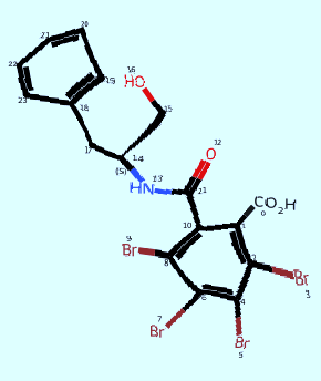 O=C(O)c1c(Br)c(Br)c(Br)c(Br)c1C(=O)N[C@H](CO)Cc1ccccc1